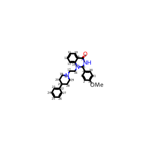 COc1ccc(C2NC(=O)c3ccccc3N2CCN2CCC(c3ccccc3)CC2)cc1